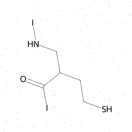 O=C(I)C(CCS)CNI